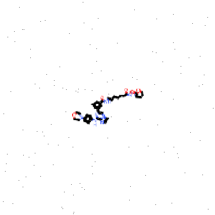 O=C(CCCCCCNC(=O)c1cccc(-c2cn3ccnc3c(Nc3ccc(N4CCOCC4)cc3)n2)c1)NOC1CCCCO1